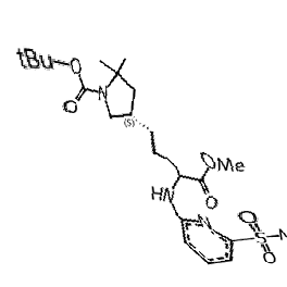 COC(=O)C(CC[C@@H]1CN(C(=O)OC(C)(C)C)C(C)(C)C1)Nc1cccc(S(N)(=O)=O)n1